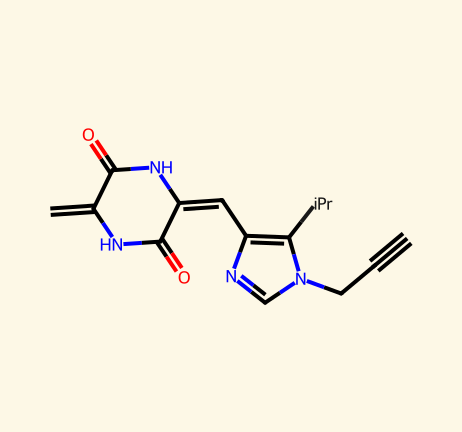 C#CCn1cnc(C=c2[nH]c(=O)c(=C)[nH]c2=O)c1C(C)C